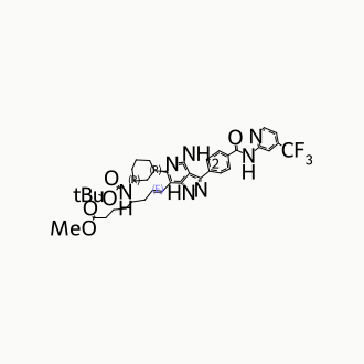 COC(=O)CCCCC/C=C/c1c([C@@H]2CCC[C@@H](NC(=O)OC(C)(C)C)C2)nc(N)c2c(-c3ccc(C(=O)Nc4cc(C(F)(F)F)ccn4)cc3)n[nH]c12